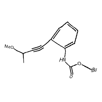 COC(C)C#Cc1ccccc1NC(=O)OC(C)(C)C